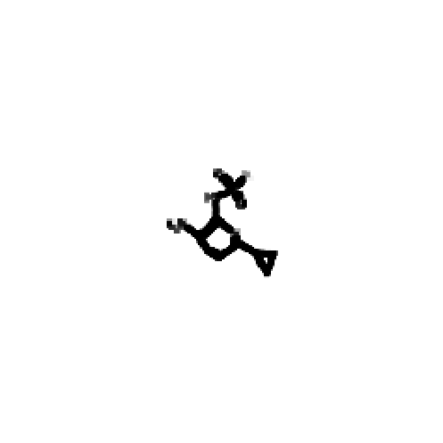 CCS(=O)(=O)Nc1nc(C2CC2)ccc1[N+](=O)[O-]